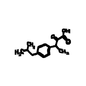 CC(C)Cc1ccc(C(C)C(=O)C(=O)O)cc1